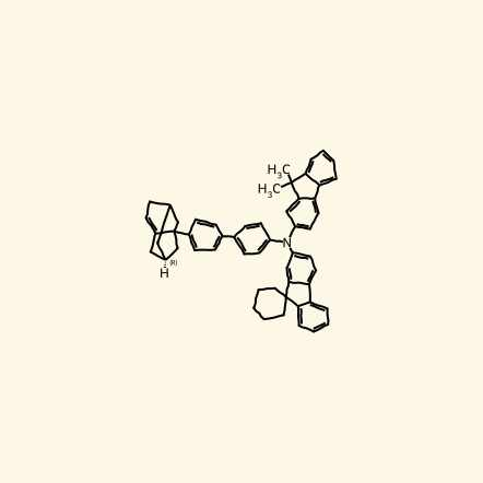 CC1(C)c2ccccc2-c2ccc(N(c3ccc(-c4ccc(C56CC7CC=C5C[C@@H](C7)C6)cc4)cc3)c3ccc4c(c3)C3(CCCCC3)c3ccccc3-4)cc21